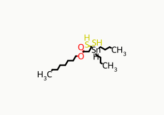 CCCCCCCCOC(=O)C[C](S)(S)[SnH]([CH2]CCC)[CH2]CCC